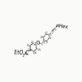 CCCCCCC#Cc1ccc(COc2ccc(C(=O)OCC)cc2)cc1